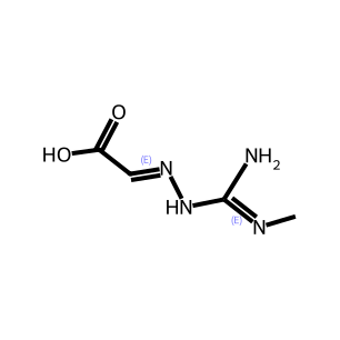 C/N=C(\N)N/N=C/C(=O)O